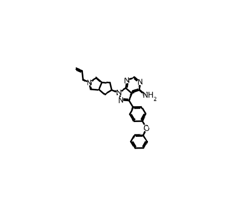 C=CCN1CC2CC(n3nc(-c4ccc(Oc5ccccc5)cc4)c4c(N)ncnc43)CC2C1